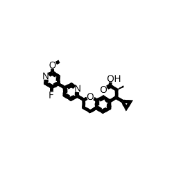 COc1cc(-c2ccc(C3CCc4ccc(C(C5CC5)[C@H](C)C(=O)O)cc4O3)nc2)c(F)cn1